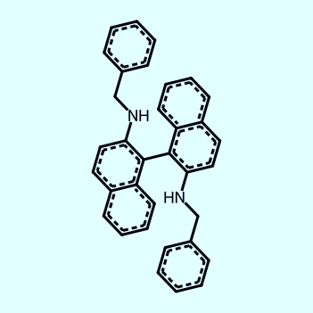 c1ccc(CNc2ccc3ccccc3c2-c2c(NCc3ccccc3)ccc3ccccc23)cc1